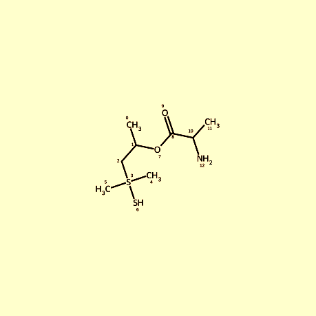 CC(CS(C)(C)S)OC(=O)C(C)N